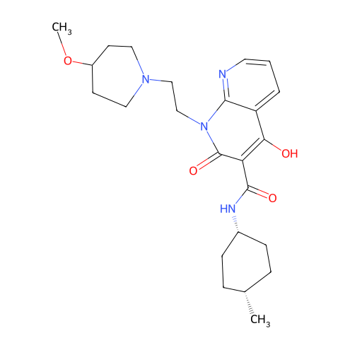 COC1CCN(CCn2c(=O)c(C(=O)N[C@H]3CC[C@@H](C)CC3)c(O)c3cccnc32)CC1